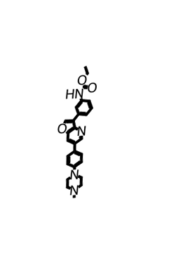 CCOC(=O)Nc1cccc(-c2coc3cc(-c4ccc(N5CCN(C)CC5)cc4)cnc23)c1